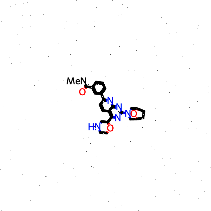 CNC(=O)c1cccc(-c2ccc3c(C4CNCCO4)nc(N4CC5CCC(C4)O5)nc3n2)c1